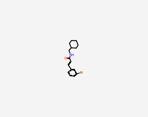 O=C(C=Cc1cccc(Br)c1)NCC1CCCCC1